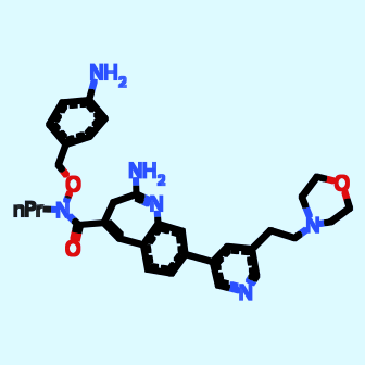 CCCN(OCc1ccc(N)cc1)C(=O)C1=Cc2ccc(-c3cncc(CCN4CCOCC4)c3)cc2N=C(N)C1